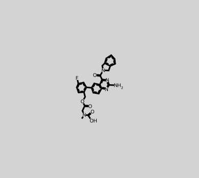 CN(CC(=O)OCc1ccc(F)cc1-c1ccc2nc(N)nc(C(=O)N3Cc4ccccc4C3)c2c1)C(=O)O